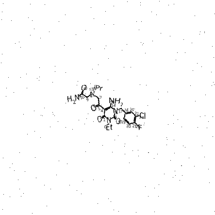 CCn1c(=O)c(C(=O)CN(CC(N)=O)C(C)C)c(N)n(Cc2ccc(F)c(Cl)c2)c1=O